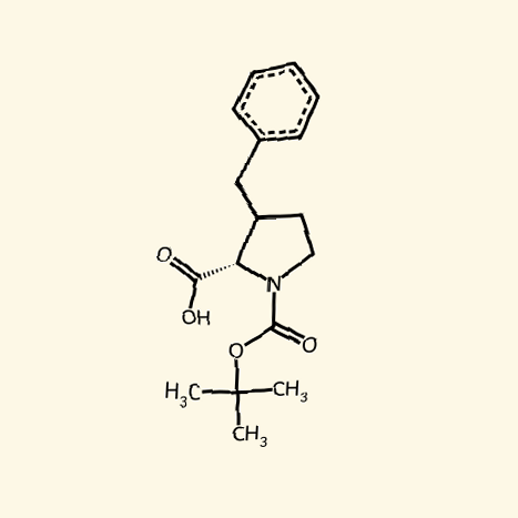 CC(C)(C)OC(=O)N1CCC(Cc2ccccc2)[C@H]1C(=O)O